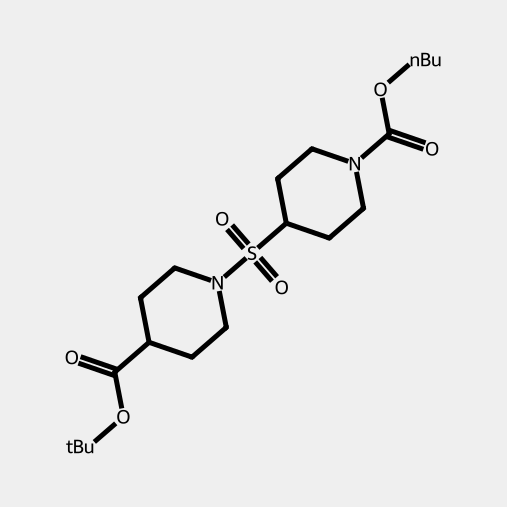 CCCCOC(=O)N1CCC(S(=O)(=O)N2CCC(C(=O)OC(C)(C)C)CC2)CC1